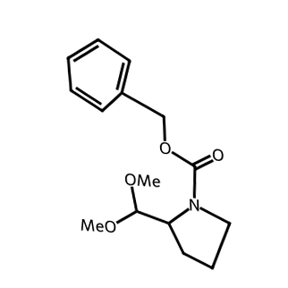 COC(OC)C1CCCN1C(=O)OCc1ccccc1